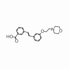 O=C(O)c1cccc(/C=C/c2cccc(OCCN3CCOCC3)c2)c1